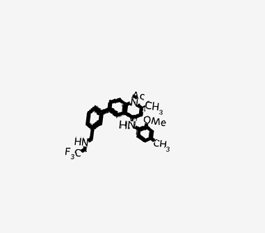 COc1cc(C)ccc1N[C@@H]1C[C@H](C)N(C(C)=O)c2ccc(-c3cccc(CNCC(F)(F)F)c3)cc21